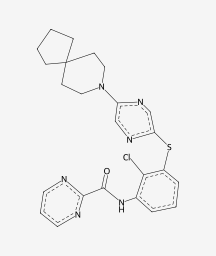 O=C(Nc1cccc(Sc2cnc(N3CCC4(CCCC4)CC3)cn2)c1Cl)c1ncccn1